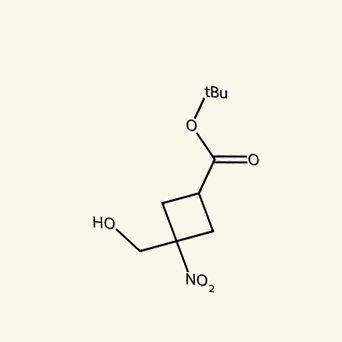 CC(C)(C)OC(=O)C1CC(CO)([N+](=O)[O-])C1